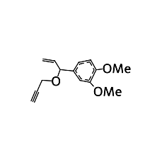 C#CCOC(C=C)c1ccc(OC)c(OC)c1